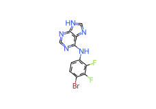 Fc1c(Br)ccc(Nc2ncnc3[nH]cnc23)c1F